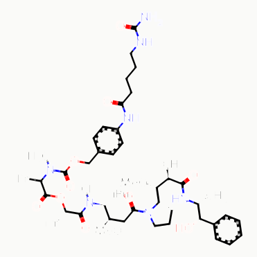 CC[C@H](C)[C@@H]([C@@H](CC(=O)N1CCC[C@H]1[C@H](OC)[C@@H](C)C(=O)N[C@H](C)[C@@H](O)c1ccccc1)OC)N(C)C(=O)[C@@H](OC(=O)C(C(C)C)N(C)C(=O)OCc1ccc(NC(=O)CCCCNC(N)=O)cc1)C(C)C